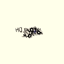 CN(C)Cc1ccc(Nc2c(/C=C3\C(=O)Nc4cc(F)ccc43)cccc2CCC(=O)O)cc1